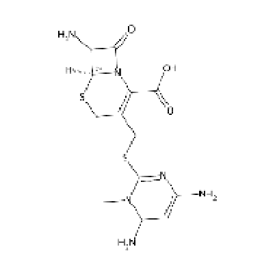 CN1C(SCC2=C(C(=O)O)N3C(=O)C(N)[C@@H]3SC2)=NC(N)=CC1N